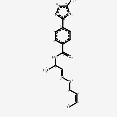 CC(C=NOC/C=C\Cl)NC(=O)c1ccc(-c2noc(C(F)(F)F)n2)cc1